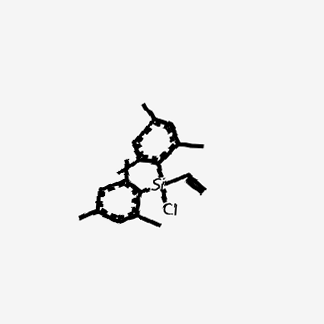 C=C[Si](Cl)(c1c(C)cc(C)cc1C)c1c(C)cc(C)cc1C